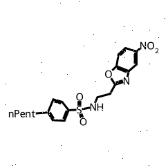 CCCCCc1ccc(S(=O)(=O)NCCc2nc3cc([N+](=O)[O-])ccc3o2)cc1